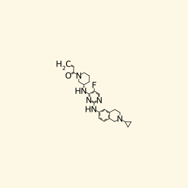 C=CC(=O)N1CCC[C@@H](Nc2nc(Nc3ccc4c(c3)CCN(C3CC3)C4)ncc2F)C1